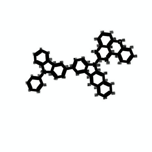 c1ccc(-n2c3ccccc3c3cc(-c4ccc5c(c4)c4cc6ccccc6cc4n5-c4nc5c6c(cccc6n4)Oc4ccccc4-5)ccc32)cc1